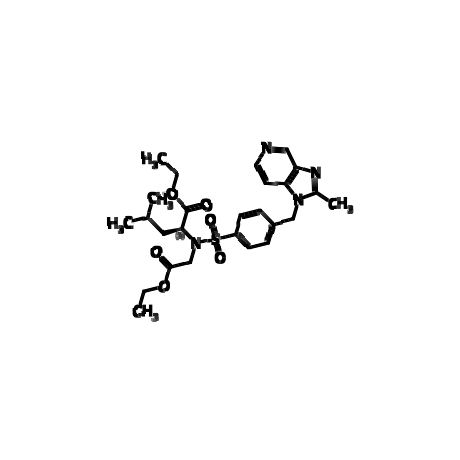 CCOC(=O)CN([C@@H](CC(C)C)C(=O)OCC)S(=O)(=O)c1ccc(Cn2c(C)nc3cnccc32)cc1